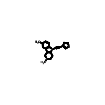 Cc1ccc2c(c1)c1c(n2C#Cc2ccsc2)CCN(C)C1